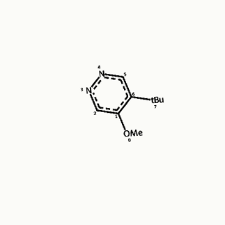 COc1cnncc1C(C)(C)C